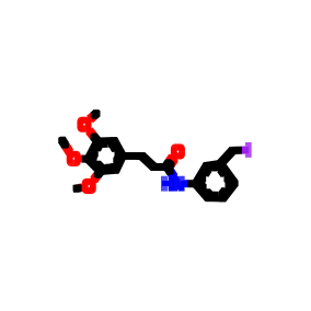 COc1cc(CCC(=O)Nc2cccc(CI)c2)cc(OC)c1OC